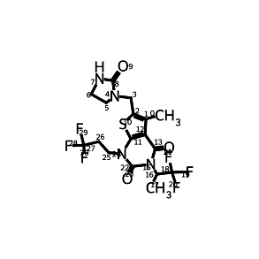 Cc1c(CN2CCNC2=O)sc2c1c(=O)n(C(C)C(F)(F)F)c(=O)n2CCC(F)(F)F